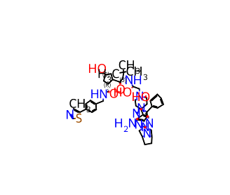 Cc1ncsc1-c1ccc(CNC(=O)[C@@H]2C[C@@H](O)CC2C(=O)[C@@H](NC(O)CN2CCC(c3cnc(N4C5CCC4CN(c4cc(-c6ccccc6O)nnc4N)C5)nc3)CC2)C(C)(C)C)cc1